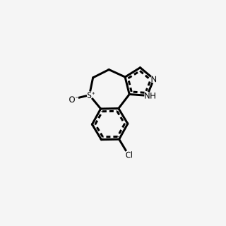 [O-][S+]1CCc2cn[nH]c2-c2cc(Cl)ccc21